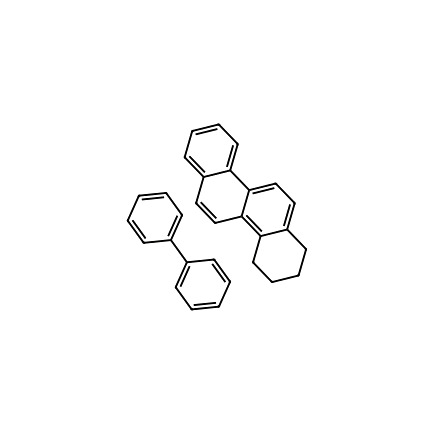 c1ccc(-c2ccccc2)cc1.c1ccc2c(c1)ccc1c3c(ccc12)CCCC3